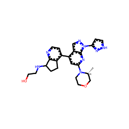 C[C@@H]1COCCN1c1cc(-c2ccnc3c2CCC3NCCO)c2cnn(-c3cc[nH]n3)c2n1